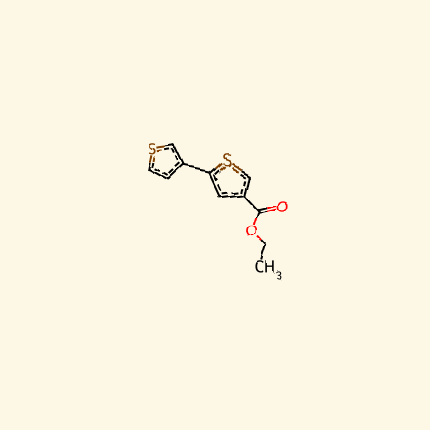 CCOC(=O)c1csc(-c2ccsc2)c1